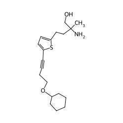 CC(N)(CO)CCc1ccc(C#CCCOC2CCCCC2)s1